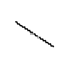 CCCCCCCCCCCCCCNCCCOCCCCCCCCCCCC